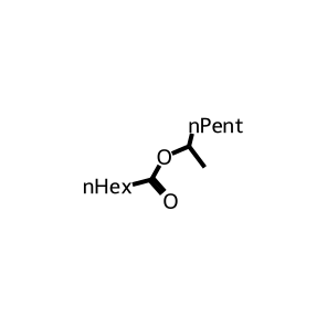 CCCCCCC(=O)OC(C)CCCCC